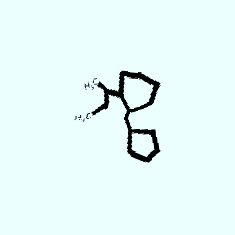 CCC(C)C1CCCCC1CC1CCCC1